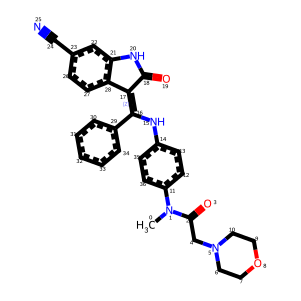 CN(C(=O)CN1CCOCC1)c1ccc(N/C(=C2\C(=O)Nc3cc(C#N)ccc32)c2ccccc2)cc1